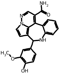 COc1cc(C2Nc3ccccc3-c3c(C(N)=O)cnn4ccc2c34)ccc1O